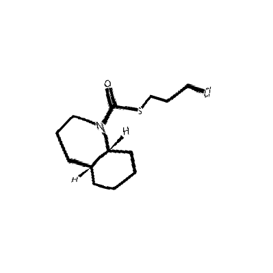 O=C(SCCCCl)N1CCC[C@H]2CCCC[C@H]21